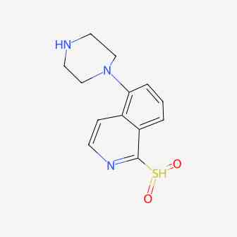 O=[SH](=O)c1nccc2c(N3CCNCC3)cccc12